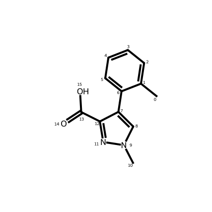 Cc1ccccc1-c1cn(C)nc1C(=O)O